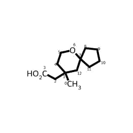 CC1(CC(=O)O)CCOC2(CCCC2)C1